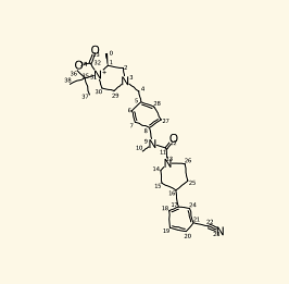 C[C@H]1CN(Cc2ccc(N(C)C(=O)N3CCC(c4cccc(C#N)c4)CC3)cc2)CC[N+]1(C(=O)[O-])C(C)(C)C